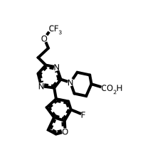 O=C(O)C1CCN(c2nc(CCOC(F)(F)F)cnc2-c2cc(F)c3occc3c2)CC1